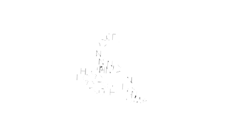 COc1ccc(CN2CCC(c3ccc4nc(C(=O)N5CCN(Cc6ccc(C(F)(F)F)cc6)CC5)[nH]c4c3)CC2)cn1.Cc1ccc(S(=O)(=O)O)cc1.Cc1ccc(S(=O)(=O)O)cc1